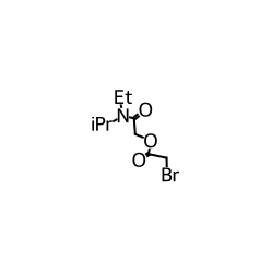 CCN(C(=O)COC(=O)CBr)C(C)C